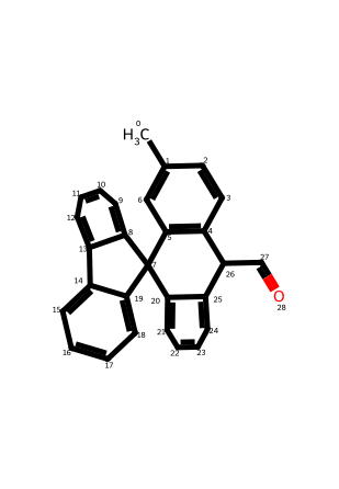 Cc1ccc2c(c1)C1(c3ccccc3-c3ccccc31)c1ccccc1C2C=O